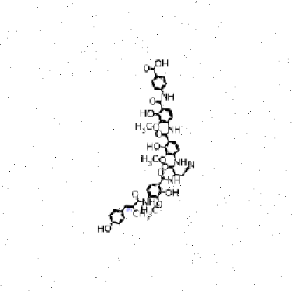 COc1c(NC(=O)/C(C)=C/c2ccc(O)cc2)ccc(C(=O)NC(CC#N)C(=O)Nc2ccc(C(=O)Nc3ccc(C(=O)Nc4ccc(C(=O)O)cc4)c(O)c3OC)c(O)c2OC)c1O